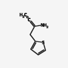 C=C=C(N)Cc1cccs1